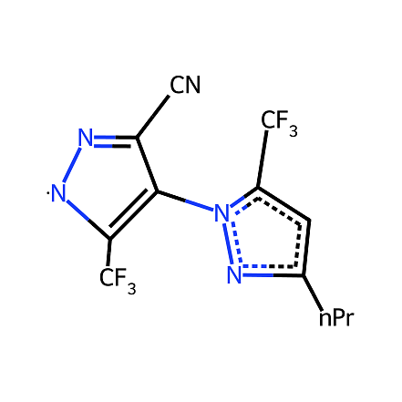 CCCc1cc(C(F)(F)F)n(C2=C(C(F)(F)F)[N]N=C2C#N)n1